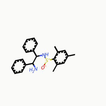 Cc1cc(C)c([S+]([O-])NC(c2ccccc2)C(N)c2ccccc2)c(C)c1